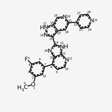 COc1cc(F)cc(-c2ccnc3[nH]c(-c4n[nH]c5cnc(-c6ccncc6)cc45)nc23)c1